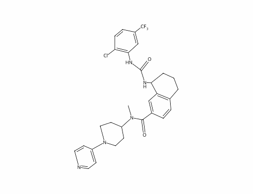 CN(C(=O)c1ccc2c(c1)C(NC(=O)Nc1cc(C(F)(F)F)ccc1Cl)CCC2)C1CCN(c2ccncc2)CC1